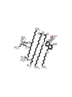 CCCCCCCCCCCCCCCCCC(=O)[O-].CCCCCCCCCCCCCCCCCC(=O)[O-].CCCCCCCCCCCCCCCC[N+](C)(C)C.CCCCCCCCOCc1ccc(O)c2ncccc12.CCO[Si](OCC)(OCC)OCC.O.[Cl-].[Co+2].[Na+].[OH-]